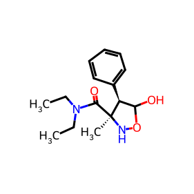 CCN(CC)C(=O)[C@]1(C)NOC(O)[C@@H]1c1ccccc1